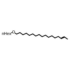 [CH2]CCCCCOCCCCCCCCCCCCCCC=CC